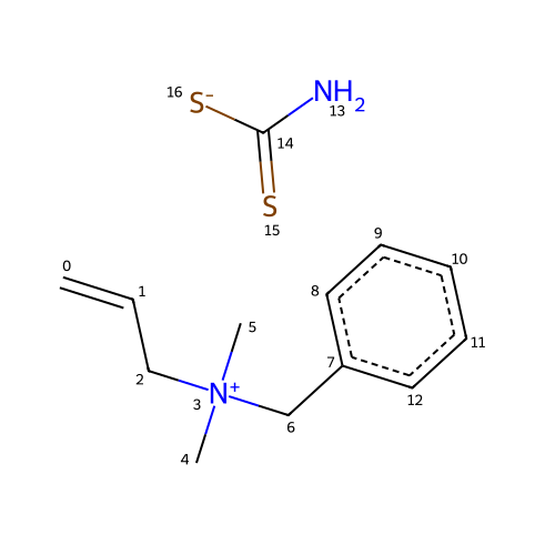 C=CC[N+](C)(C)Cc1ccccc1.NC(=S)[S-]